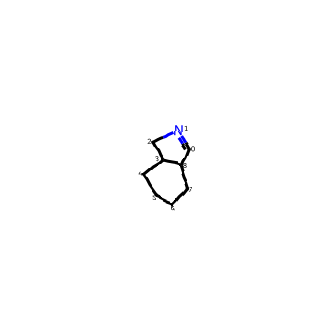 C1=NCC2CCCCC12